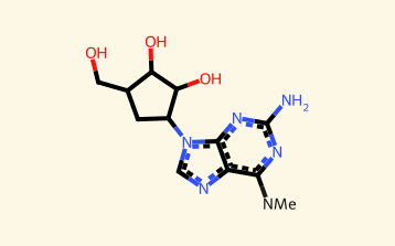 CNc1nc(N)nc2c1ncn2C1CC(CO)C(O)C1O